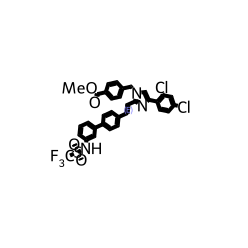 COC(=O)c1ccc(Cn2cc(-c3ccc(Cl)cc3Cl)nc2/C=C/c2ccc(-c3cccc(NS(=O)(=O)C(F)(F)F)c3)cc2)cc1